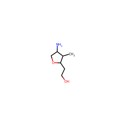 CC1C(N)COC1CCO